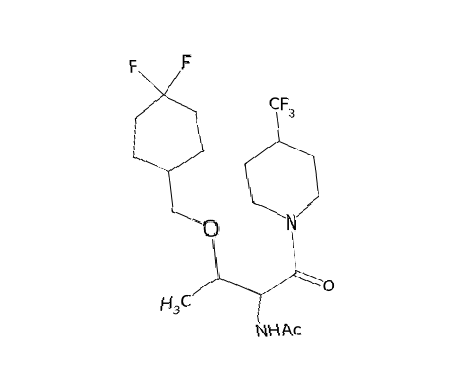 CC(=O)NC(C(=O)N1CCC(C(F)(F)F)CC1)C(C)OCC1CCC(F)(F)CC1